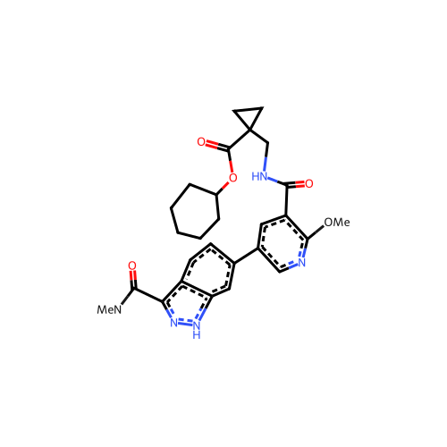 CNC(=O)c1n[nH]c2cc(-c3cnc(OC)c(C(=O)NCC4(C(=O)OC5CCCCC5)CC4)c3)ccc12